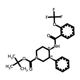 CC(C)(C)OC(=O)N1CC[C@@H](NC(=O)c2ccccc2OC(F)(F)F)[C@@H](c2ccccc2)C1